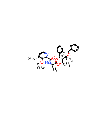 COc1ccnc(C(=O)N[C@@H](C)C(=O)O[C@@H](C)[C@H](Cc2ccccc2)C(C)(C)OCc2ccccc2)c1OCOC(C)=O